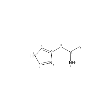 CC([NH])Cc1c[nH]cn1